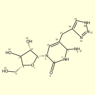 NC1NC(=O)N([C@@H]2O[C@H](CO)C(O)[C@@H]2O)C=C1Cc1c[nH]nn1